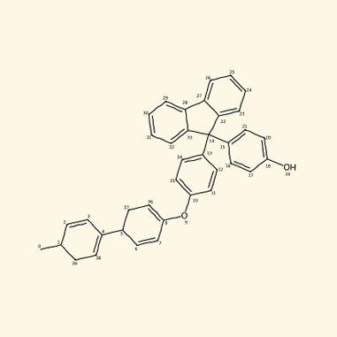 CC1C=CC(C2C=CC(Oc3ccc(C4(c5ccc(O)cc5)c5ccccc5-c5ccccc54)cc3)=CC2)=CC1